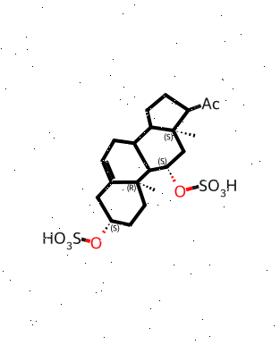 CC(=O)C1CCC2C3CC=C4C[C@@H](OS(=O)(=O)O)CC[C@]4(C)C3[C@@H](OS(=O)(=O)O)C[C@]12C